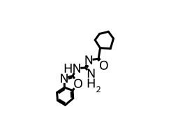 N/C(=N\C(=O)C1CCCCC1)Nc1nc2ccccc2o1